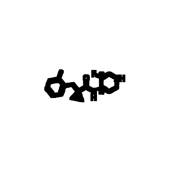 Cc1ccccc1CC1(C(=O)N[C@H]2CCNC[C@@H]2F)CC1